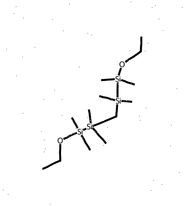 CCO[Si](C)(C)[Si](C)(C)C[Si](C)(C)[Si](C)(C)OCC